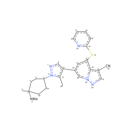 CNC1(C)CCC(n2ncc(-c3cc(Sc4ccccn4)c4c(C#N)cnn4c3)c2C)CC1